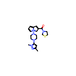 Cc1cc(N2CCN([N@@+]34C=CC=C3C=C(C(=O)N3CCSC3)C4)CC2)n(C)n1